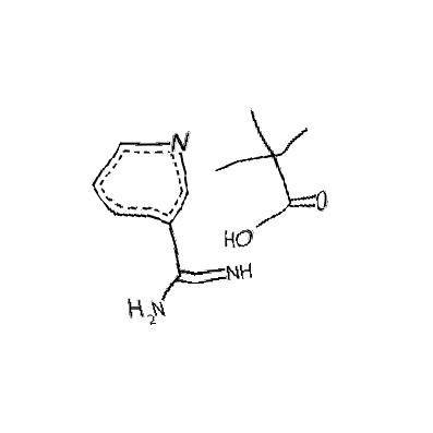 CC(C)(C)C(=O)O.N=C(N)c1cccnc1